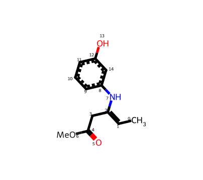 C/C=C(/CC(=O)OC)Nc1cccc(O)c1